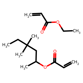 C=CC(=O)OC(C)CC(C)(C)CC.C=CC(=O)OCC